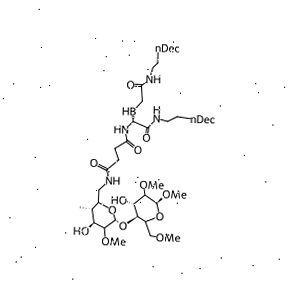 CCCCCCCCCCCCNC(=O)CB[C@H](NC(=O)CCC(=O)NCC1O[C@H](O[C@@H]2C(COC)O[C@H](OC)C(OC)[C@H]2O)C(OC)[C@@H](O)[C@@H]1C)C(=O)NCCCCCCCCCCCC